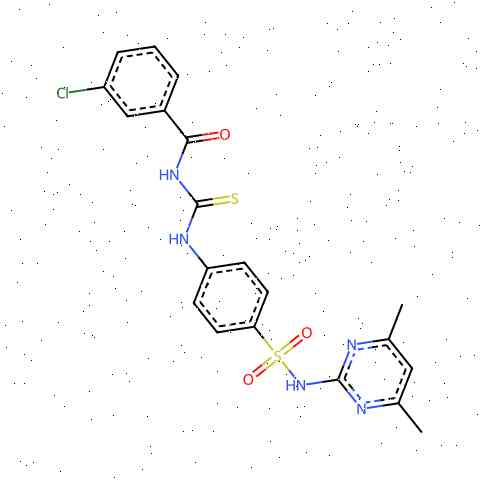 Cc1cc(C)nc(NS(=O)(=O)c2ccc(NC(=S)NC(=O)c3cccc(Cl)c3)cc2)n1